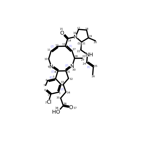 C=C(Cl)\C=C/C(=C\C)C1=N/C/C=C\C(C(=O)N2CCC(C)[C@H]2CN/C=C/C)=C/C(C)/N=C\1CCCCC(=O)O